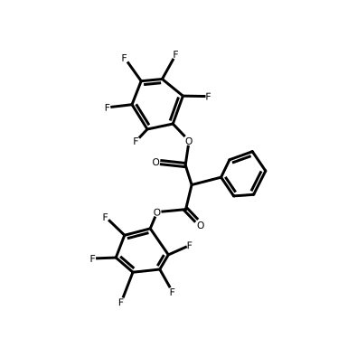 O=C(Oc1c(F)c(F)c(F)c(F)c1F)C(C(=O)Oc1c(F)c(F)c(F)c(F)c1F)c1ccccc1